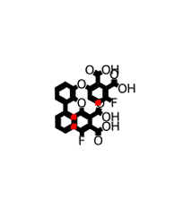 O=C(O)c1c(F)ccc(Oc2cccc(-c3ccccc3)c2Oc2ccc(F)c(C(=O)O)c2C(=O)O)c1C(=O)O